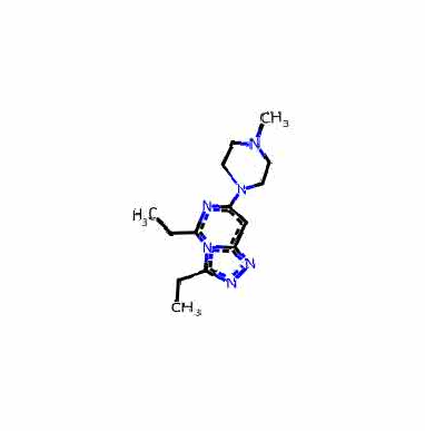 CCc1nnc2cc(N3CCN(C)CC3)nc(CC)n12